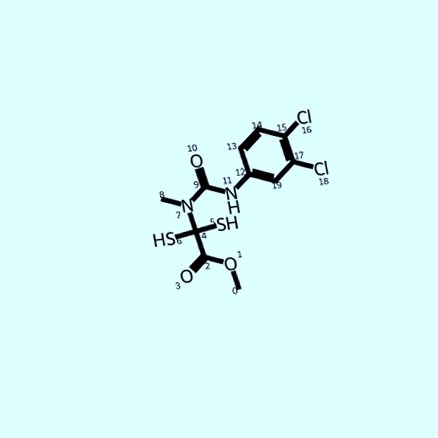 COC(=O)C(S)(S)N(C)C(=O)Nc1ccc(Cl)c(Cl)c1